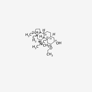 CCO[C@H]1C[C@@]2(C)[C@@H](CC[C@@H]3[C@@H]2[C@H](N(C)C)C[C@]2(C)[C@@H](C)CC[C@@H]32)C[C@@H]1O